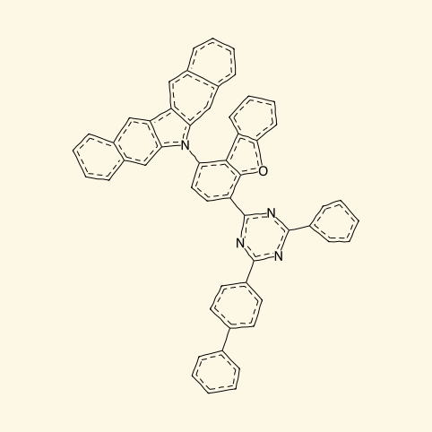 c1ccc(-c2ccc(-c3nc(-c4ccccc4)nc(-c4ccc(-n5c6cc7ccccc7cc6c6cc7ccccc7cc65)c5c4oc4ccccc45)n3)cc2)cc1